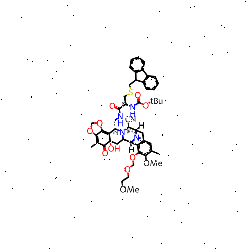 COCCOCOc1c(OC)c(C)cc2c1[C@@H]1C3CC4(O)C(=O)C(C)=C5OCOC5=C4[C@H](CNC(=O)[C@@H](CSCC4c5ccccc5-c5ccccc54)NC(=O)OC(C)(C)C)N3[C@@H](C#N)[C@H](C2)N1C